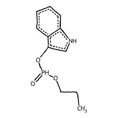 CCCO[PH](=O)Oc1c[nH]c2ccccc12